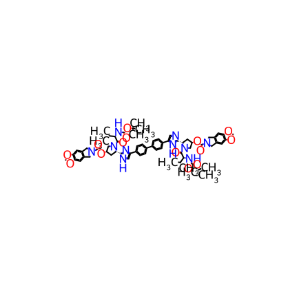 CC(C)[C@H](NC(=O)OC(C)(C)C)C(=O)N1C[C@H](OC(=O)N2Cc3cc4c(cc3C2)OCO4)C[C@H]1c1nc(-c2ccc(-c3ccc(-c4cnc([C@@H]5C[C@@H](OC(=O)N6Cc7cc8c(cc7C6)OCO8)CN5C(=O)[C@@H](NC(=O)OC(C)(C)C)C(C)C)[nH]4)cc3)cc2)c[nH]1